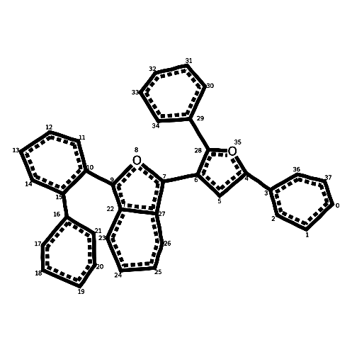 c1ccc(-c2cc(-c3oc(-c4ccccc4-c4ccccc4)c4ccccc34)c(-c3ccccc3)o2)cc1